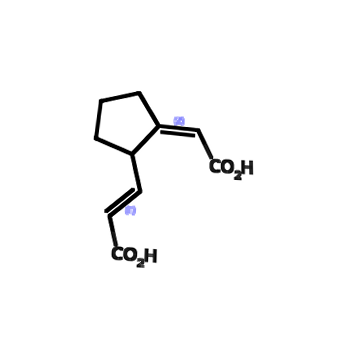 O=C(O)/C=C1/CCCC1/C=C/C(=O)O